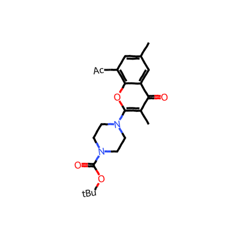 CC(=O)c1cc(C)cc2c(=O)c(C)c(N3CCN(C(=O)OC(C)(C)C)CC3)oc12